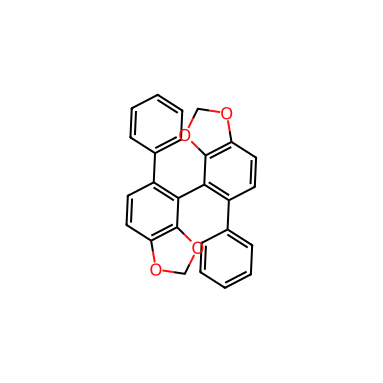 c1ccc(-c2ccc3c(c2-c2c(-c4ccccc4)ccc4c2OCO4)OCO3)cc1